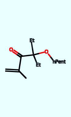 C=C(C)C(=O)C(CC)(CC)OCCCCC